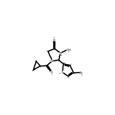 O=C1CN(C(=O)C2CC2)C(c2cc(Br)cs2)N1O